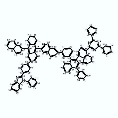 c1ccc(-c2nc(-c3ccccc3)nc(-c3ccc4c5c(cccc35)-c3c-4c(-c4cccc(-c5ccc6cc(-c7c8ccccc8c(-c8ccc9ccccc9c8)c8cc(-c9ccc(-c%10nc%11ccccc%11n%10-c%10ccccc%10)cc9)ccc78)ccc6c5)c4)c4ccccc4c3-c3ccccc3)n2)cc1